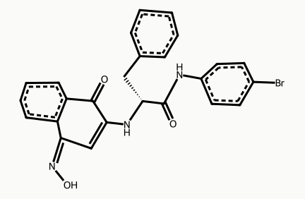 O=C1C(N[C@H](Cc2ccccc2)C(=O)Nc2ccc(Br)cc2)=CC(=NO)c2ccccc21